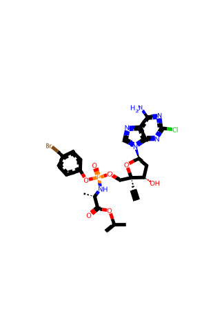 C#C[C@]1(COP(=O)(N[C@@H](C)C(=O)OC(C)C)Oc2ccc(Br)cc2)O[C@@H](n2cnc3c(N)nc(Cl)nc32)C[C@@H]1O